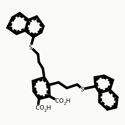 O=C(O)c1ccc(CCCSc2cccc3ccccc23)c(CCCSc2cccc3ccccc23)c1C(=O)O